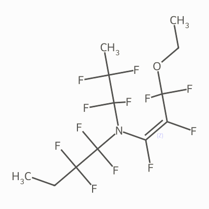 CCOC(F)(F)/C(F)=C(/F)N(C(F)(F)C(C)(F)F)C(F)(F)C(F)(F)CC